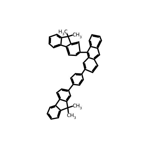 CC1(C)c2ccccc2-c2ccc(-c3ccc(-c4ccc5cc6ccccc6c(-c6ccc7c(c6)C(C)(C)c6ccccc6-7)c5c4)cc3)cc21